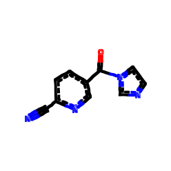 N#Cc1ccc(C(=O)n2ccnc2)cn1